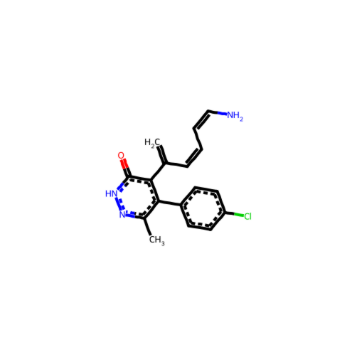 C=C(/C=C\C=C/N)c1c(-c2ccc(Cl)cc2)c(C)n[nH]c1=O